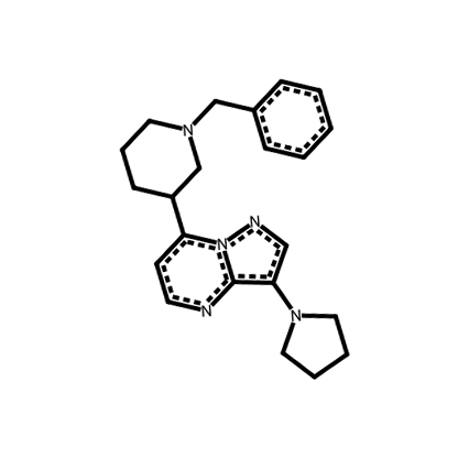 c1ccc(CN2CCCC(c3ccnc4c(N5CCCC5)cnn34)C2)cc1